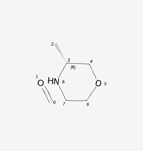 C=O.C[C@@H]1COCCN1